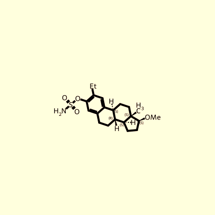 CCc1cc2c(cc1OS(N)(=O)=O)CC[C@@H]1[C@@H]2CC[C@]2(C)[C@@H](OC)CC[C@@H]12